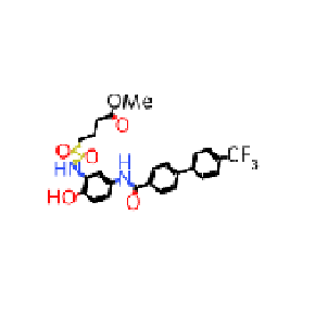 COC(=O)CCCS(=O)(=O)Nc1cc(NC(=O)c2ccc(-c3ccc(C(F)(F)F)cc3)cc2)ccc1O